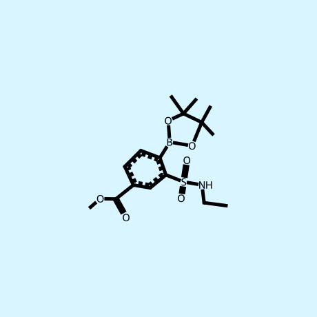 CCNS(=O)(=O)c1cc(C(=O)OC)ccc1B1OC(C)(C)C(C)(C)O1